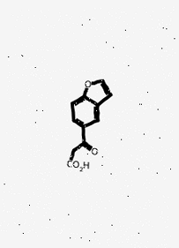 O=C(O)CC(=O)c1ccc2occc2c1